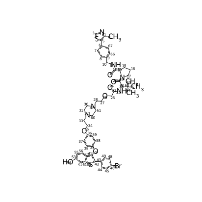 Cc1ncsc1-c1ccc(CNC(=O)[C@@H]2CCCN2C(=O)[C@@H](NC(=O)COCCN2CCN(CCOc3ccc(Oc4c(-c5ccc(Br)cc5)sc5cc(O)ccc45)cc3)CC2)C(C)(C)C)cc1